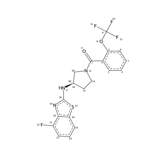 O=C(c1ccccc1OC(F)(F)F)N1CC[C@@H](Nc2nc3c(F)cccc3s2)C1